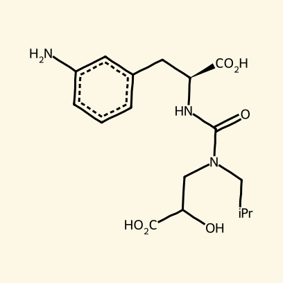 CC(C)CN(CC(O)C(=O)O)C(=O)N[C@@H](Cc1cccc(N)c1)C(=O)O